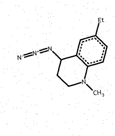 CCc1ccc2c(c1)C(N=[N+]=[N-])CCN2C